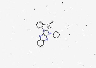 C=C1C2(C)c3ccccc3N3c4nc5ccccc5nc4N(c4ccccc4)C3C12C